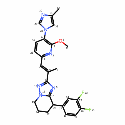 COc1nc(C=C(C)c2nc3n(n2)CCCC3c2ccc(F)c(F)c2)ccc1-n1cnc(C)c1